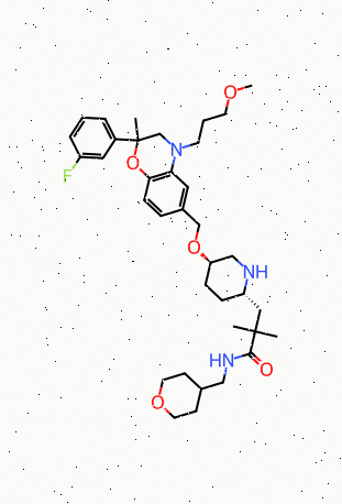 COCCCN1CC(C)(c2cccc(F)c2)Oc2ccc(CO[C@@H]3CC[C@@H](CC(C)(C)C(=O)NCC4CCOCC4)NC3)cc21